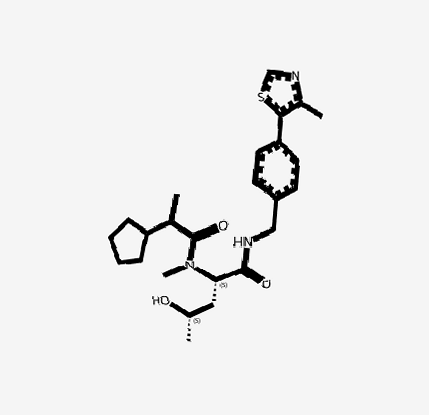 Cc1ncsc1-c1ccc(CNC(=O)[C@H](C[C@H](C)O)N(C)C(=O)C(C)C2CCCC2)cc1